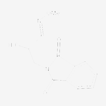 CON=CC(C)CN1C(=O)c2ccccc2C1=O